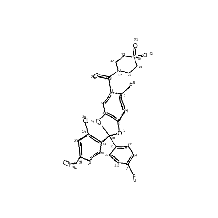 O=C(c1cc2c(cc1F)OC(c1ccc(F)cc1)(c1ccc(Cl)cc1Cl)O2)N1CCS(=O)(=O)CC1